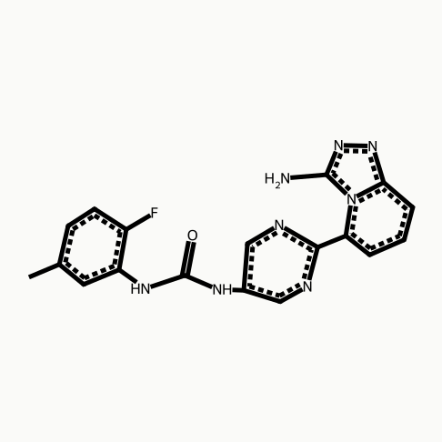 Cc1ccc(F)c(NC(=O)Nc2cnc(-c3cccc4nnc(N)n34)nc2)c1